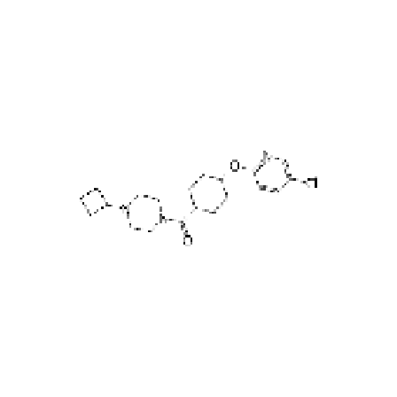 O=C([C@H]1CC[C@@H](Oc2ccc(Cl)cn2)CC1)N1CCN(C2CCC2)CC1